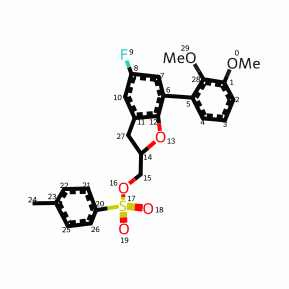 COc1cccc(-c2cc(F)cc3c2OC(COS(=O)(=O)c2ccc(C)cc2)C3)c1OC